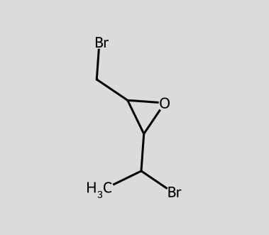 CC(Br)C1OC1CBr